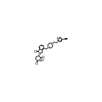 C#Cc1cnn(CCN2CCN(Cc3cccc4c3CN(C3CCC(=O)NC3=O)C4=O)CC2)c1